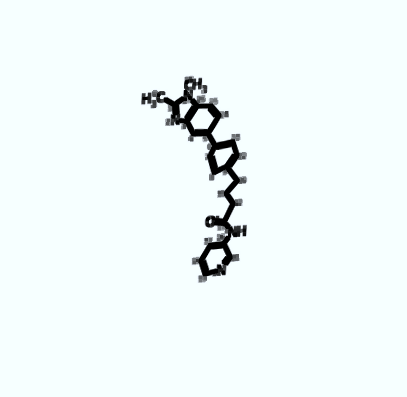 Cc1nc2cc(-c3ccc(CCCC(=O)Nc4cccnc4)cc3)ccc2n1C